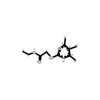 CCOC(=O)COc1nc(C)c(C)c(C)n1